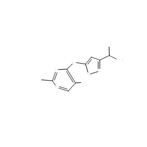 CC(C)c1cc(Nc2nc(Cl)ncc2Cl)[nH]n1